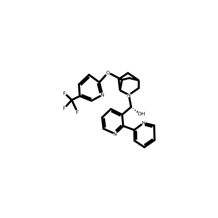 O[C@H](c1cccnc1-c1ccccn1)N1CC2CCC1C(Oc1ccc(C(F)(F)F)cn1)C2